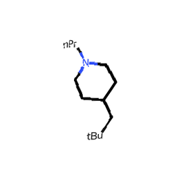 CCCN1CCC(CC(C)(C)C)CC1